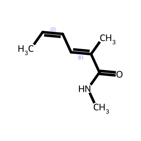 C/C=C\C=C(/C)C(=O)NC